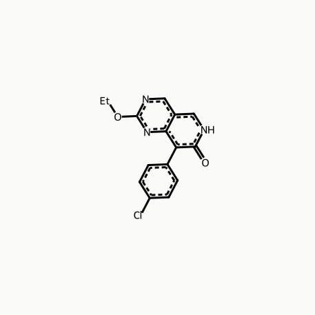 CCOc1ncc2c[nH]c(=O)c(-c3ccc(Cl)cc3)c2n1